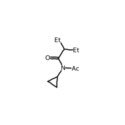 CCC(CC)C(=O)N(C(C)=O)C1CC1